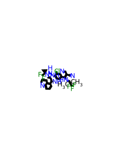 CC(C)(CNc1c(C#N)cnc2c(Cl)cc(N[C@H](C3=CN(C4(C(F)F)CC4)NN3)c3cccc4ncccc34)cc12)C(F)(F)F